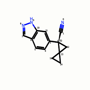 N#C[C@@]1(c2ccc3cn[nH]c3c2)CC12CC2